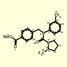 COC(=O)c1ccc(CN(C(=O)N2CCC[C@H]2C(F)(F)F)c2cccc(C(F)(F)F)c2)cc1